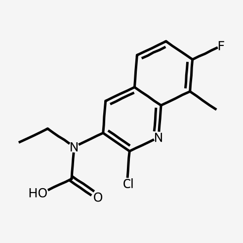 CCN(C(=O)O)c1cc2ccc(F)c(C)c2nc1Cl